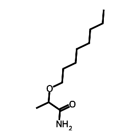 CCCCCCCCOC(C)C(N)=O